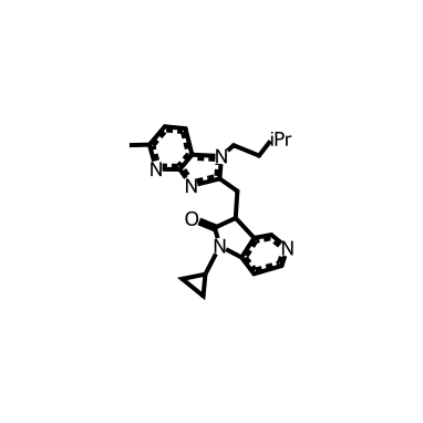 Cc1ccc2c(n1)nc(CC1C(=O)N(C3CC3)c3ccncc31)n2CCC(C)C